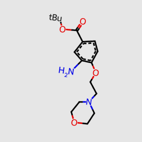 CC(C)(C)OC(=O)c1ccc(OCCN2CCOCC2)c(N)c1